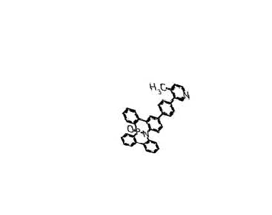 Cc1ccncc1-c1ccc(-c2ccc3c(c2)-c2ccccc2P2(=O)c4ccccc4-c4ccccc4N32)cc1